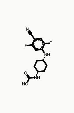 N#Cc1cc(F)c(N[C@H]2CC[C@H](NC(=O)O)CC2)cc1F